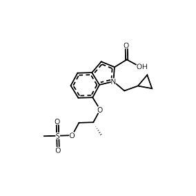 C[C@H](COS(C)(=O)=O)Oc1cccc2cc(C(=O)O)n(CC3CC3)c12